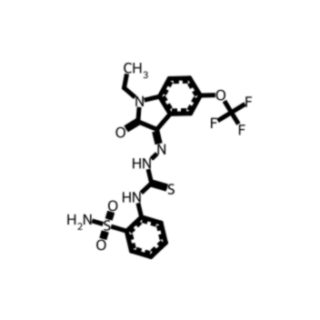 CCN1C(=O)C(=NNC(=S)Nc2ccccc2S(N)(=O)=O)c2cc(OC(F)(F)F)ccc21